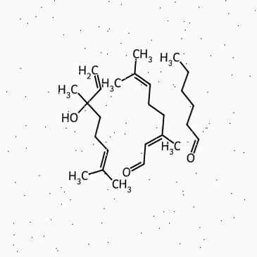 C=CC(C)(O)CCC=C(C)C.CC(C)=CCCC(C)=CC=O.CCCCCC=O